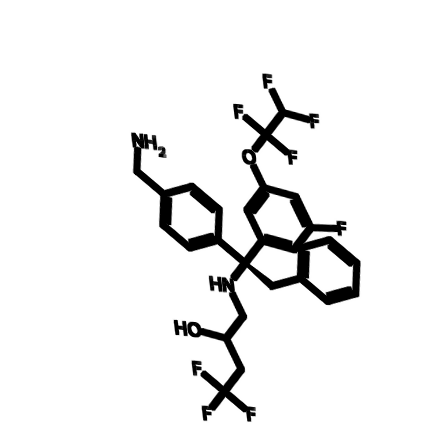 NCc1ccc([C@@](Cc2ccccc2)(NCC(O)CC(F)(F)F)c2cc(F)cc(OC(F)(F)C(F)F)c2)cc1